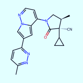 Cc1ccc(-c2cc3c(N4C[C@@H](C)[C@@](C#N)(C5CC5)C4=O)ccnn3c2)nn1